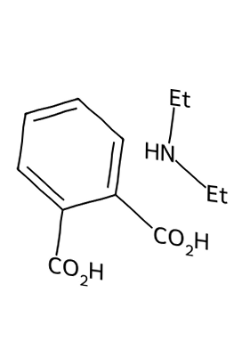 CCNCC.O=C(O)c1ccccc1C(=O)O